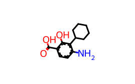 Nc1ccc(C(=O)O)c(O)c1C1CCCCC1